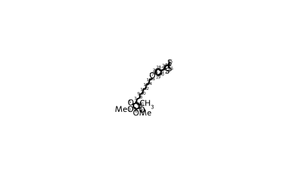 COC1=C(OC)C(=O)C(CCCCCCCCCCOc2ccc(-c3cc(=S)ss3)cc2)=C(C)C1=O